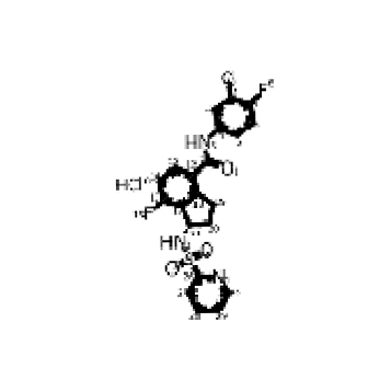 Cl.O=C(Nc1ccc(F)c(Cl)c1)c1ccc(F)c2c1CC[C@@H]2NS(=O)(=O)c1ccccn1